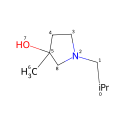 CC(C)CN1CCC(C)(O)C1